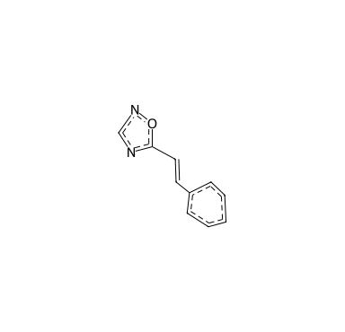 C(=C\c1ncno1)/c1ccccc1